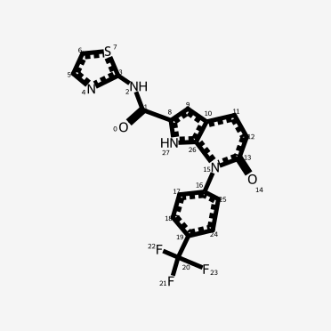 O=C(Nc1nccs1)c1cc2ccc(=O)n(-c3ccc(C(F)(F)F)cc3)c2[nH]1